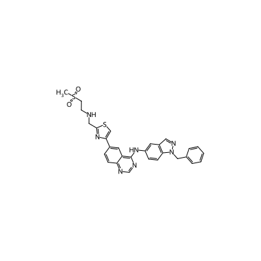 CS(=O)(=O)CCNCc1nc(-c2ccc3ncnc(Nc4ccc5c(cnn5Cc5ccccc5)c4)c3c2)cs1